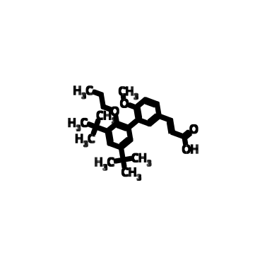 CCCOc1c(-c2cc(C=CC(=O)O)ccc2OC)cc(C(C)(C)C)cc1C(C)(C)C